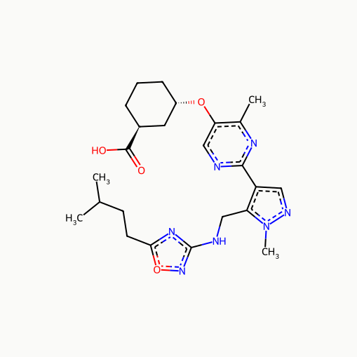 Cc1nc(-c2cnn(C)c2CNc2noc(CCC(C)C)n2)ncc1O[C@H]1CCC[C@H](C(=O)O)C1